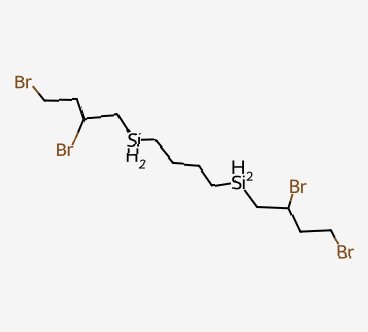 BrCCC(Br)C[SiH2]CCCC[SiH2]CC(Br)CCBr